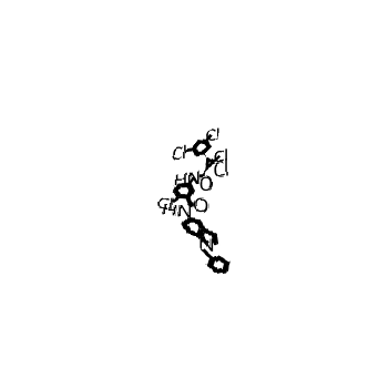 O=C(Nc1ccc2c(ccn2Cc2ccccc2)c1)c1cc(NC(=O)[C@H]2[C@H](c3cc(Cl)cc(Cl)c3)C2(Cl)Cl)ccc1Cl